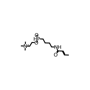 CC=CC(=O)NCCCC[PH](=O)OCC[N+](C)(C)C